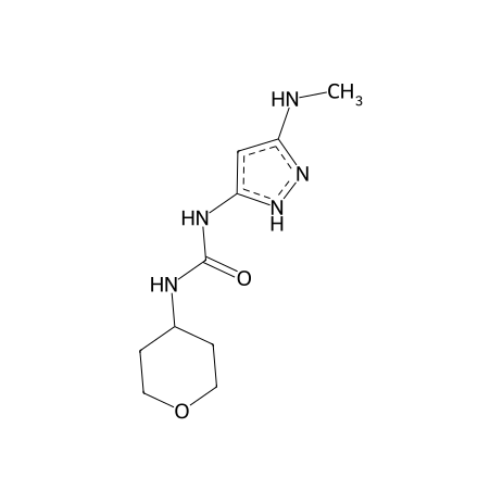 CNc1cc(NC(=O)NC2CCOCC2)[nH]n1